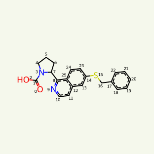 O=C(O)N1CCCC1c1nccc2cc(SCc3ccccc3)ccc12